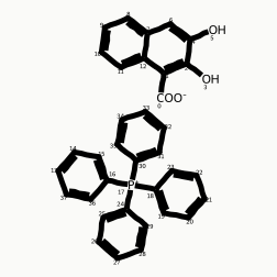 O=C([O-])c1c(O)c(O)cc2ccccc12.c1ccc([P+](c2ccccc2)(c2ccccc2)c2ccccc2)cc1